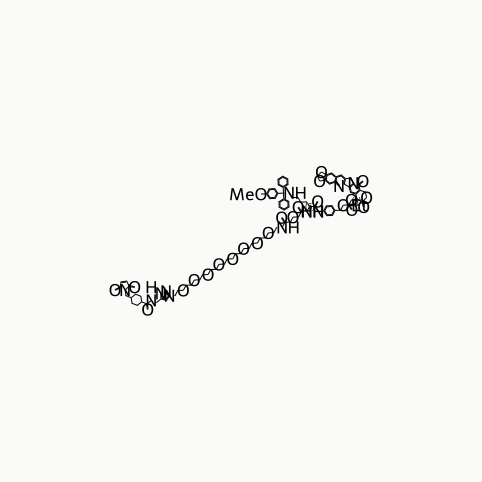 CC[C@@]1(OC(=O)OCc2ccc(NC(=O)[C@H](CCCCNC(c3ccccc3)(c3ccccc3)c3ccc(OC)cc3)NC(=O)COCC(=O)NCCOCCOCCOCCOCCOCCOCCOCCOCCn3cc(CNC(=O)C4CCC(CN5C(=O)C=CC5=O)CC4)nn3)cc2)C(=O)OCc2c1cc1n(c2=O)Cc2cc3cc4c(cc3nc2-1)OCO4